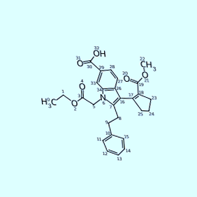 CCOC(=O)Cn1c(CCc2ccccc2)c(C2=C(C(=O)OC)CCC2)c2ccc(C(=O)O)cc21